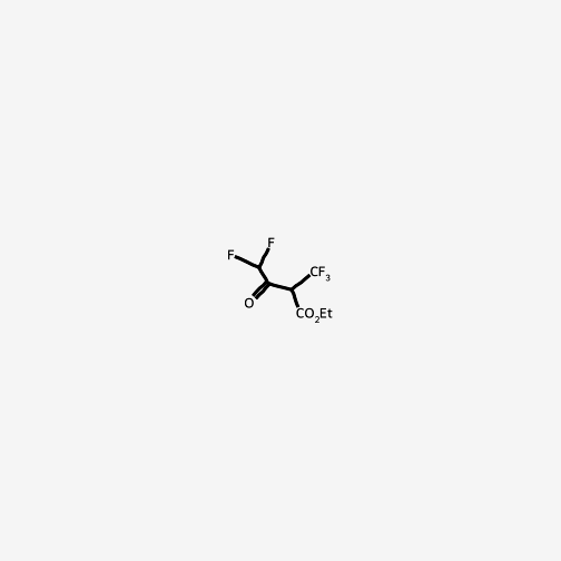 CCOC(=O)C(C(=O)C(F)F)C(F)(F)F